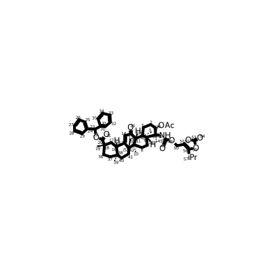 CC(=O)O[C@H]1CC[C@@]2(C)[C@@H](CC[C@]3(C)[C@@H]2C(=O)C=C2[C@@H]4C[C@@](C)(C(=O)OC(c5ccccc5)c5ccccc5)CC[C@]4(C)CC[C@]23C)[C@]1(C)NC(=O)OCc1oc(=O)oc1C(C)C